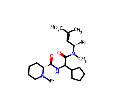 C/C(=C\[C@H](C(C)C)N(C)C(=O)C(NC(=O)[C@H]1CCCCN1C(C)C)C1CCCC1)C(=O)O